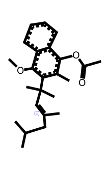 COc1c(C(C)(C)/C=C(\C)CC(C)C)c(C)c(OC(C)=O)c2ccccc12